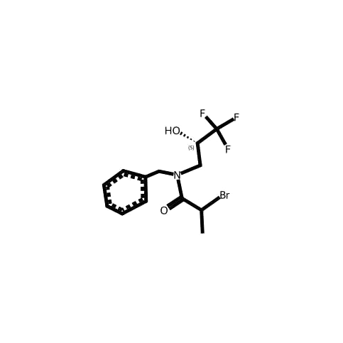 CC(Br)C(=O)N(Cc1ccccc1)C[C@H](O)C(F)(F)F